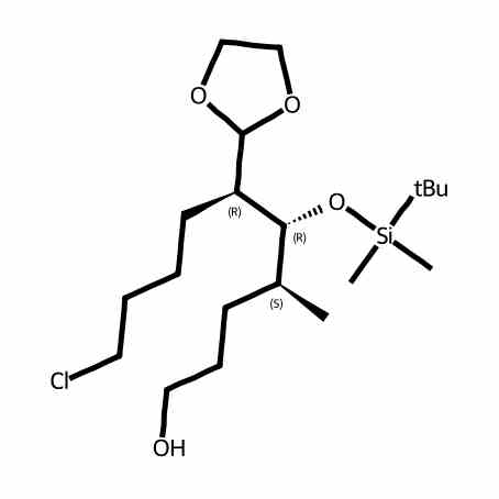 C[C@@H](CCCO)[C@@H](O[Si](C)(C)C(C)(C)C)[C@@H](CCCCCl)C1OCCO1